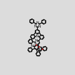 c1ccc(-c2cc(-c3cccc4c5cc(-c6nc(-c7ccccc7)nc(-c7ccccc7)n6)cc6c7ccccc7n(c34)c65)nc(-c3ccccc3-n3c4ccccc4c4c5c6ccccc6n(-c6ccccc6)c5ccc43)n2)cc1